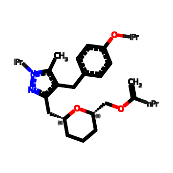 C=C(CCC)OC[C@@H]1CCC[C@H](Cc2nn(C(C)C)c(C)c2Cc2ccc(OC(C)C)cc2)O1